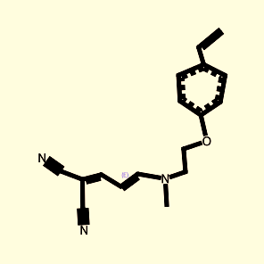 C=Cc1ccc(OCCN(C)/C=C/C=C(C#N)C#N)cc1